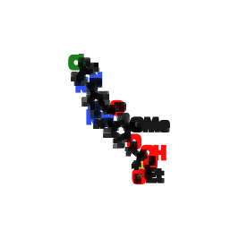 CCS(=O)(=O)C[C@@H](O)COc1ccc(-n2cnn3cc(-c4ncc(Cl)cn4)cc3c2=O)cc1OC